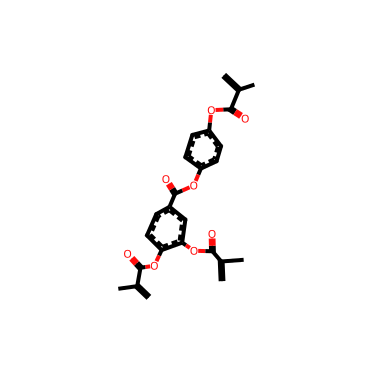 C=C(C)C(=O)Oc1ccc(OC(=O)c2ccc(OC(=O)C(=C)C)c(OC(=O)C(=C)C)c2)cc1